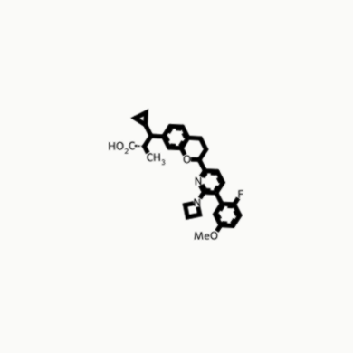 COc1ccc(F)c(-c2ccc(C3CCc4ccc(C(C5CC5)[C@H](C)C(=O)O)cc4O3)nc2N2CCC2)c1